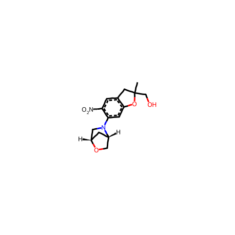 CC1(CO)Cc2cc([N+](=O)[O-])c(N3C[C@@H]4C[C@H]3CO4)cc2O1